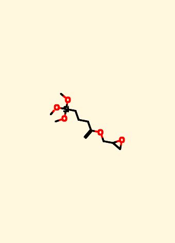 C=C(CCC[Si](OC)(OC)OC)OCC1CO1